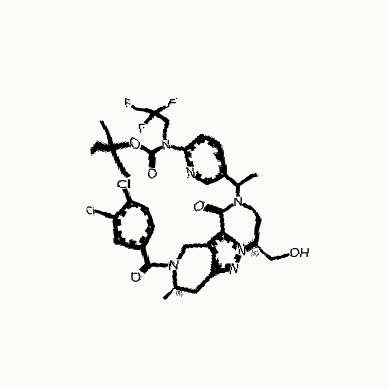 CC(c1ccc(N(CC(F)(F)F)C(=O)OC(C)(C)C)nc1)N1C[C@@H](CO)n2nc3c(c2C1=O)CN(C(=O)c1ccc(Cl)c(Cl)c1)[C@H](C)C3